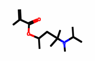 C=C(C)C(=O)OC(C)CC(C)(C)N(C)C(C)C